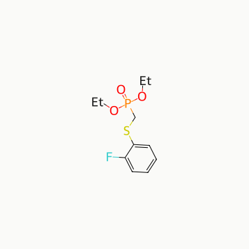 CCOP(=O)(CSc1ccccc1F)OCC